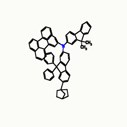 CC1(C)c2ccccc2-c2ccc(N(c3cccc(-c4cccc5cccc(-c6ccccc6)c45)c3)c3ccc4c(c3)C(c3ccccc3)(c3ccccc3)c3cc(C56CCC(CC5)C6)ccc3-4)cc21